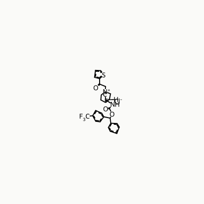 O=C(N[C@H]1C[N+]2(CC(=O)c3cccs3)CCC1CC2)OC(c1ccccc1)c1ccc(C(F)(F)F)cc1.[Cl-]